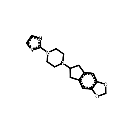 c1csc(N2CCN(C3Cc4cc5c(cc4C3)OCO5)CC2)n1